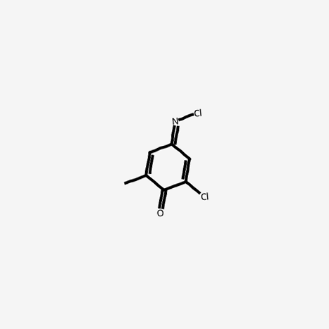 CC1=C/C(=N/Cl)C=C(Cl)C1=O